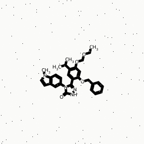 CCOCOc1cc(OCc2ccccc2)c(-c2n[nH]c(=O)n2-c2ccc3c(ccn3C)c2)cc1C(C)C